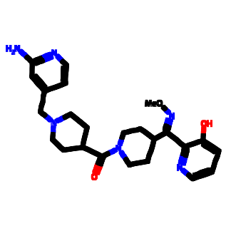 CO/N=C(/c1ncccc1O)C1CCN(C(=O)C2CCN(Cc3ccnc(N)c3)CC2)CC1